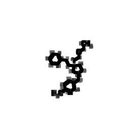 CCOCC[C@]1(CCc2ccccc2)CCN(Cc2ccc(C)nc2)C1